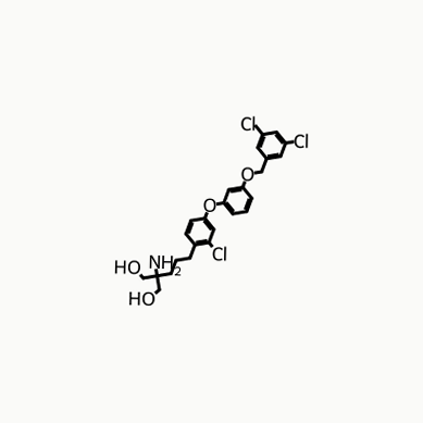 NC(CO)(CO)CCCc1ccc(Oc2cccc(OCc3cc(Cl)cc(Cl)c3)c2)cc1Cl